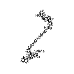 CN[C@@H](C)C(=O)N[C@H](C(=O)N1Cc2cc(OCCOCCOCCOCCOCCOCCNC(=O)c3ccc(C(C)n4cc(-c5cc(-c6ccccc6O)nnc5N)cn4)cc3)ccc2C[C@H]1C(=O)N[C@@H]1CCCc2ccccc21)C(C)(C)C